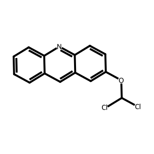 ClC(Cl)Oc1ccc2nc3ccccc3cc2c1